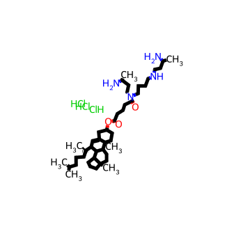 CC(C)CCC[C@@H](C)C1C=C2CC(OC(=O)CCCC(=O)N(CCCCNCCC(C)N)CCC(C)N)CCC2(C)C2CCC3(C)CCCC3C12.Cl.Cl.Cl